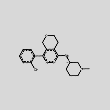 CN1CCC[C@@H](Nc2nnc(-c3ccccc3O)c3c2CCOC3)C1